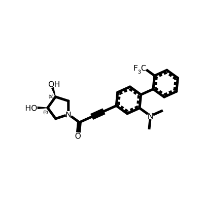 CN(C)c1cc(C#CC(=O)N2C[C@@H](O)[C@@H](O)C2)ccc1-c1ccccc1C(F)(F)F